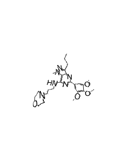 CCCc1nn(C)c2c(NCCCN3CCOCC3)nc(-c3cc(OC)c(OC)c(OC)c3)nc12